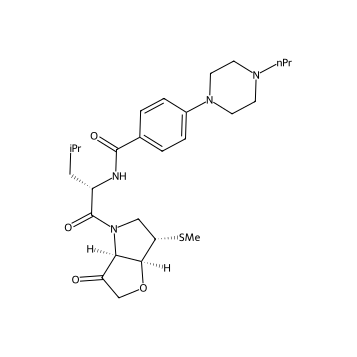 CCCN1CCN(c2ccc(C(=O)N[C@@H](CC(C)C)C(=O)N3C[C@H](SC)[C@H]4OCC(=O)[C@H]43)cc2)CC1